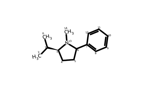 CC(C)[C@@H]1CCC(c2ccccc2)N1C